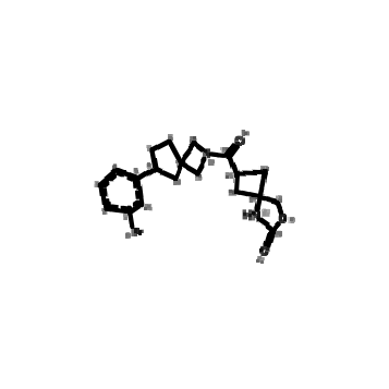 CC(C)c1cccc(C2CCC3(C2)CN(C(=O)C2CC4(COC(=O)N4)C2)C3)c1